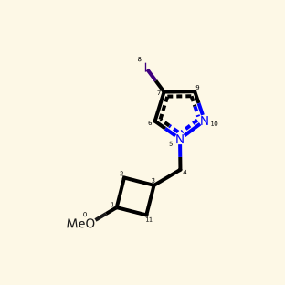 COC1CC(Cn2cc(I)cn2)C1